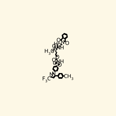 Cc1ccc(-c2cc(C(F)(F)F)nn2-c2ccc(S(=O)(=O)NC(=O)OCCN(C)[NH+]([O-])NOCN3C(=O)c4ccccc4C3=O)cc2)cc1